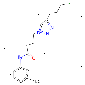 CCc1cccc(NC(=O)CCCn2cc(CCCF)nn2)c1